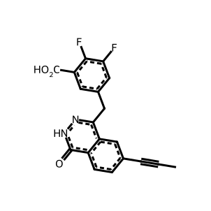 CC#Cc1ccc2c(=O)[nH]nc(Cc3cc(F)c(F)c(C(=O)O)c3)c2c1